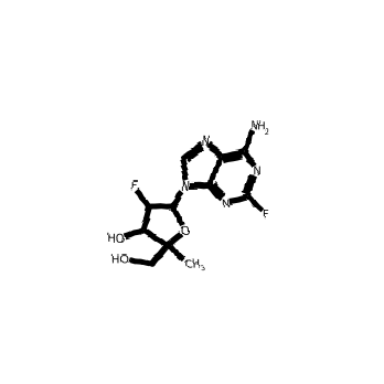 CC1(CO)OC(n2cnc3c(N)nc(F)nc32)C(F)C1O